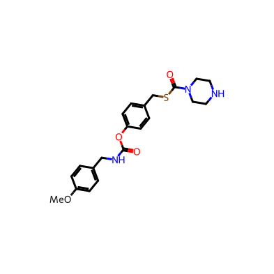 COc1ccc(CNC(=O)Oc2ccc(CSC(=O)N3CCNCC3)cc2)cc1